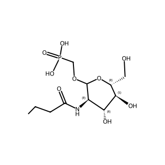 CCCC(=O)N[C@H]1C(OCP(=O)(O)O)O[C@H](CO)[C@@H](O)[C@@H]1O